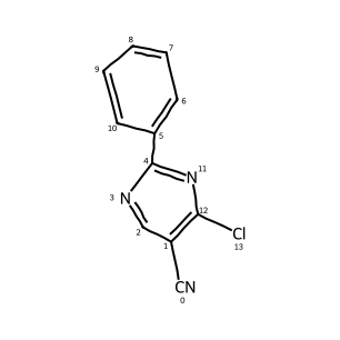 N#Cc1cnc(-c2ccccc2)nc1Cl